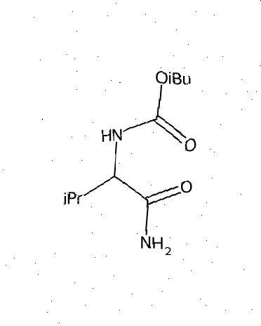 CC(C)COC(=O)NC(C(N)=O)C(C)C